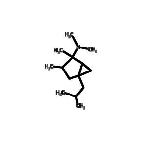 CC(C)CC12CC(C)C(C)(N(C)C)C1C2